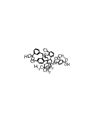 COc1cc(C(=O)O)ccc1NC(=O)[C@@H]1N[C@@H](CC(C)(C)C)[C@@]2(CN(Cc3cccc(C(=O)O)c3)c3cc(Cl)ccc32)[C@H]1c1cccc(Cl)c1F